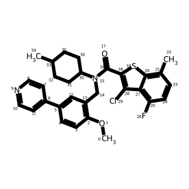 COc1ccc(-c2ccncc2)cc1CN(C(=O)c1sc2c(C)ccc(F)c2c1Cl)C1CCC(C)CC1